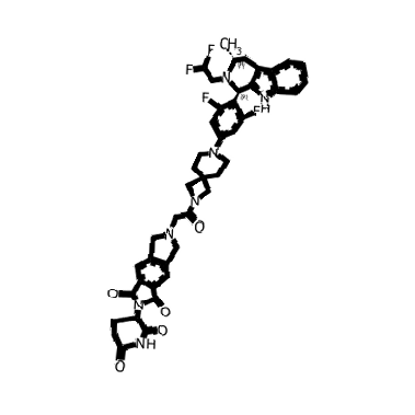 C[C@@H]1Cc2c([nH]c3ccccc23)[C@@H](c2c(F)cc(N3CCC4(CC3)CN(C(=O)CN3Cc5cc6c(cc5C3)C(=O)N(C3CCC(=O)NC3=O)C6=O)C4)cc2F)N1CC(F)F